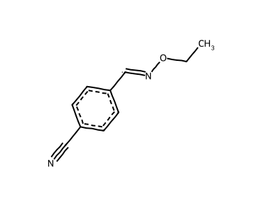 CCO/N=[C]/c1ccc(C#N)cc1